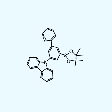 CC1(C)OB(c2cc(-c3ccccn3)cc(-n3c4ccccc4c4ccccc43)c2)OC1(C)C